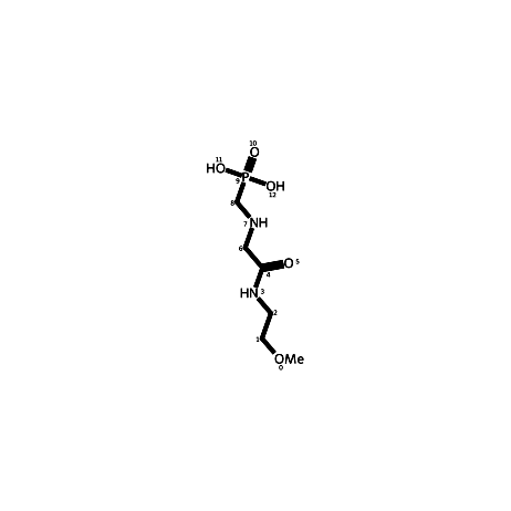 COCCNC(=O)CNCP(=O)(O)O